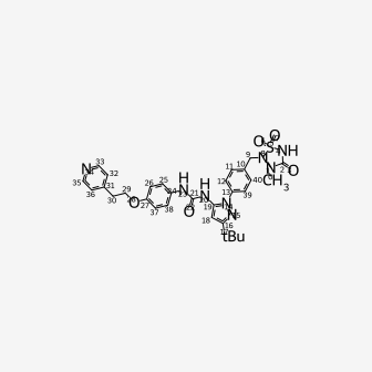 CN1C(=O)NS(=O)(=O)N1Cc1ccc(-n2nc(C(C)(C)C)cc2NC(=O)Nc2ccc(OCCc3ccncc3)cc2)cc1